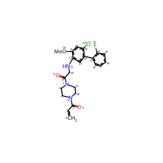 C=CC(=O)N1CCN(C(=O)CNc2cc(-c3ccccc3F)c(Cl)cc2OC)CC1